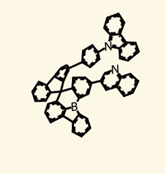 c1ccc2c(c1)B1c3cc(-c4cnc5ccccc5c4)ccc3C3(c4ccccc4-c4ccc(-c5ccc(-n6c7ccccc7c7ccccc76)cc5)cc43)c3cccc-2c31